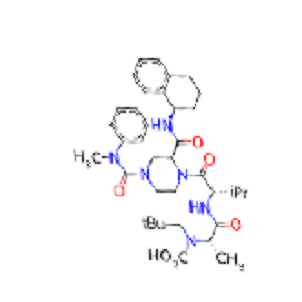 CC(C)[C@H](NC(=O)[C@H](C)N(CC(C)(C)C)C(=O)O)C(=O)N1CCN(C(=O)N(C)c2ccccc2)C[C@H]1C(=O)N[C@@H]1CCCc2ccccc21